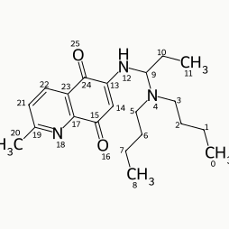 CCCCN(CCCC)C(CC)NC1=CC(=O)c2nc(C)ccc2C1=O